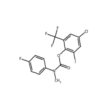 CN(C(=O)Oc1c(I)cc(Cl)cc1C(F)(F)F)c1ccc(F)cc1